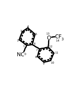 N#Cc1ccc[c]c1-c1ccccc1OC(F)(F)F